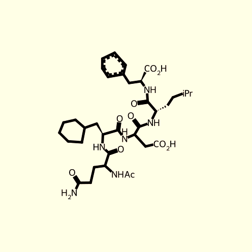 CC(=O)NC(CCC(N)=O)C(=O)N[C@@H](CC1CCCCC1)C(=O)NC(CC(=O)O)C(=O)N[C@@H](CCC(C)C)C(=O)N[C@@H](Cc1ccccc1)C(=O)O